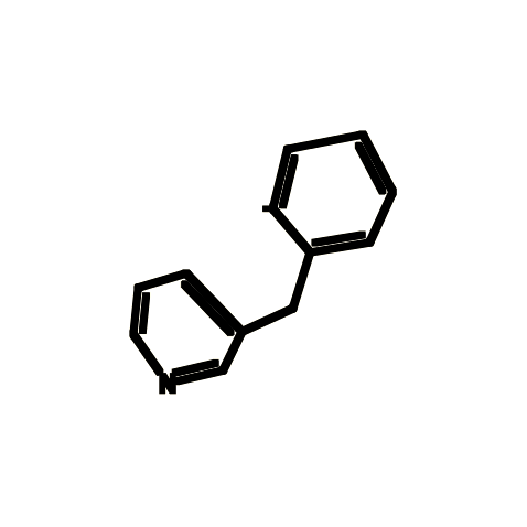 [c]1ccccc1Cc1cccnc1